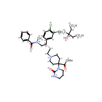 COC(=O)C1(N2CCCNC2=O)CCN(CC[C@H](CN(C)C(=O)c2ccccc2)c2ccc(Cl)c(Cl)c2)CC1.O=C(O)CC(O)(CC(=O)O)C(=O)O